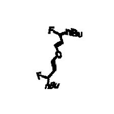 CCCCC(F)/C=C/O/C=C/C(F)CCCC